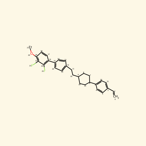 C=Cc1ccc(C2CCC(CCc3ccc(-c4ccc(OCC)c(F)c4F)cc3)CC2)cc1